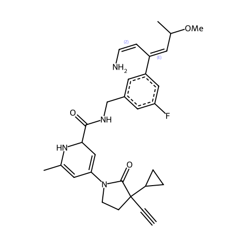 C#CC1(C2CC2)CCN(C2=CC(C(=O)NCc3cc(F)cc(C(/C=C\N)=C/C(C)OC)c3)NC(C)=C2)C1=O